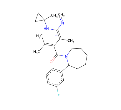 C=N/C(NC1(C)CC1)=C(\C)C(C(=O)N1CCCCCC1c1cccc(F)c1)=C(C)C